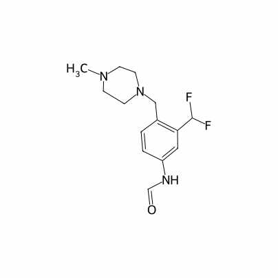 CN1CCN(Cc2ccc(NC=O)cc2C(F)F)CC1